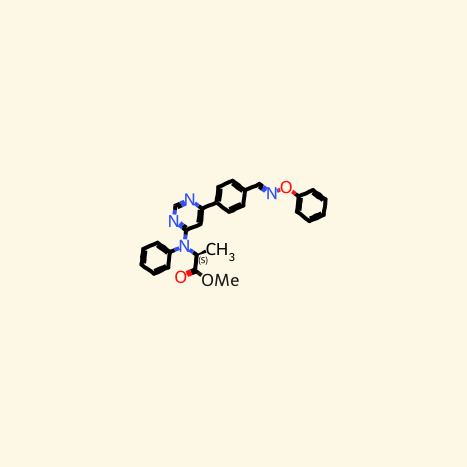 COC(=O)[C@H](C)N(c1ccccc1)c1cc(-c2ccc(C=NOc3ccccc3)cc2)ncn1